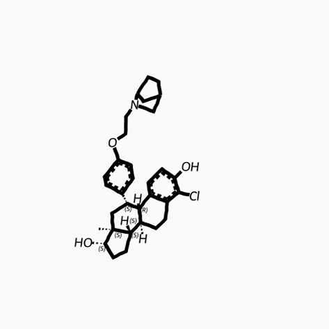 C[C@]12C[C@H](c3ccc(OCCN4CC5CCC4C5)cc3)[C@@H]3c4ccc(O)c(Cl)c4CC[C@H]3[C@@H]1CC[C@@H]2O